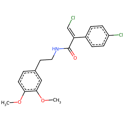 COc1ccc(CCNC(=O)C(=CCl)c2ccc(Cl)cc2)cc1OC